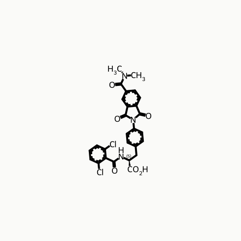 CN(C)C(=O)c1ccc2c(c1)C(=O)N(c1ccc(C[C@H](NC(=O)c3c(Cl)cccc3Cl)C(=O)O)cc1)C2=O